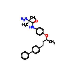 [CH2][C@@](C)(N)C(=O)Nc1ccc(OC(C)CCc2ccc(-c3ccccc3)cc2)cc1